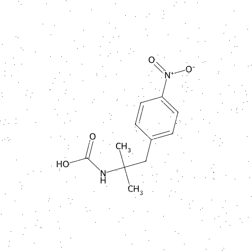 CC(C)(Cc1ccc([N+](=O)[O-])cc1)NC(=O)O